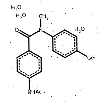 CC(=O)Nc1ccc(C(=O)N(C)c2cc[c]([Ge])cc2)cc1.O.O.O